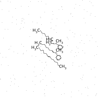 C=CC(C)c1ccccc1.C=CCCCCCC.CCCCCCC=CC(C)c1ccccc1.CCCCCCC=CCCCCCC